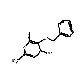 CC1=C(OCc2ccccc2)C(O)C=C(C(=O)O)O1